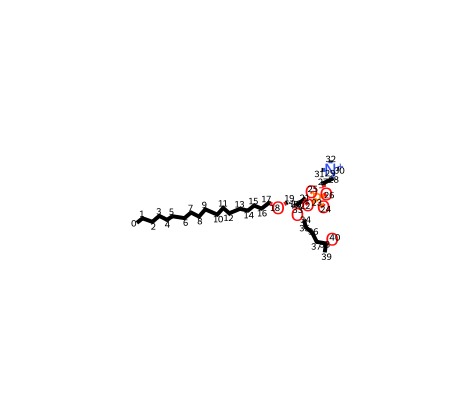 CCCCCCCCCCCCCCCCCCOC[C@H](COP(=O)([O-])OCC[N+](C)(C)C)OCCCCC(C)=O